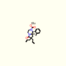 C=CCC1(CC=C)C[C@H]2[C@H](c3ccccc3C)N(C(=O)OC(C)(C)C)CCN2C1=O